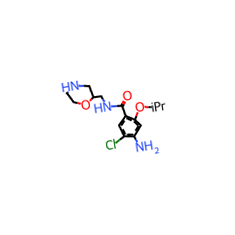 CC(C)Oc1cc(N)c(Cl)cc1C(=O)NCC1CNCCO1